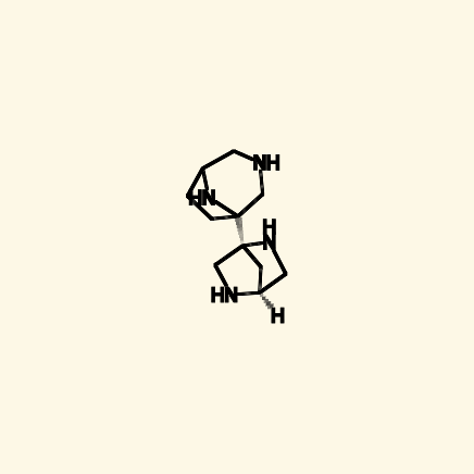 C1CC2([C@]34CN[C@H](CN3)C4)CNCC1N2